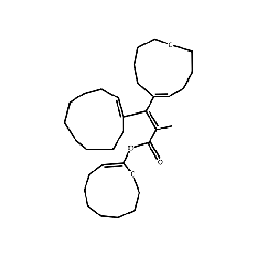 CC(C(=O)OC1=CCCCCCCCC1)=C(C1=CCCCCCCCC1)C1=CCCCCCCCC1